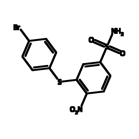 NS(=O)(=O)c1ccc([N+](=O)[O-])c(Sc2ccc(Br)cc2)c1